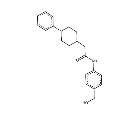 O=C(CC1CCC(c2ccccc2)CC1)Nc1ccc(CO)cc1